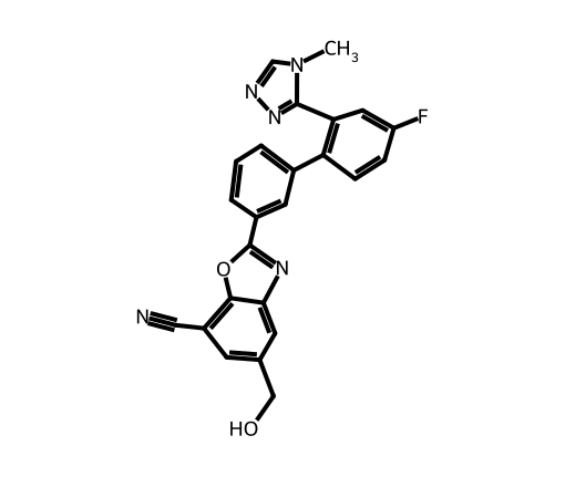 Cn1cnnc1-c1cc(F)ccc1-c1cccc(-c2nc3cc(CO)cc(C#N)c3o2)c1